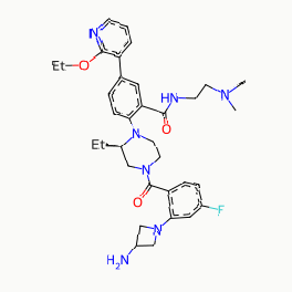 CCOc1ncccc1-c1ccc(N2CCN(C(=O)c3ccc(F)cc3N3CC(N)C3)C[C@H]2CC)c(C(=O)NCCN(C)C)c1